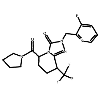 O=C(C1CCC(C(F)(F)F)c2nn(Cc3ncccc3F)c(=O)n21)N1CCCC1